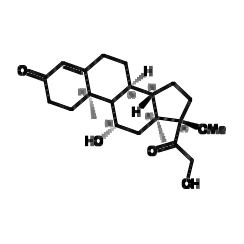 CO[C@]1(C(=O)CO)CC[C@H]2[C@@H]3CCC4=CC(=O)CC[C@]4(C)C3[C@@H](O)C[C@@]21C